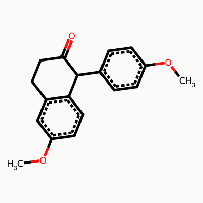 COc1ccc(C2C(=O)CCc3cc(OC)ccc32)cc1